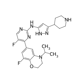 CC(C)N1CCOc2c(F)cc(-c3nc(Nc4cc(C5CCNCC5)n[nH]4)ncc3F)cc21